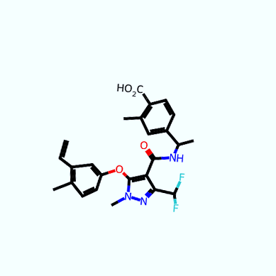 C=Cc1cc(Oc2c(C(=O)NC(C)c3ccc(C(=O)O)c(C)c3)c(C(F)F)nn2C)ccc1C